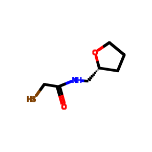 O=C(CS)NC[C@H]1CCCO1